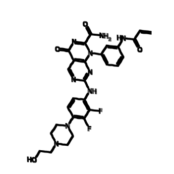 C=CC(=O)Nc1cccc(-n2c(C(N)=O)nc(=O)c3cnc(Nc4ccc(N5CCN(CCO)CC5)c(F)c4F)nc32)c1